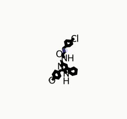 COc1ccc(-c2nc(CNC(=O)/C=C/c3ccc(Cl)cc3)cc3c2[nH]c2ccccc23)cc1